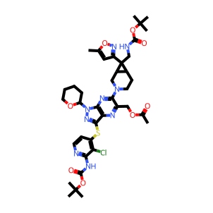 CC(=O)OCc1nc2c(Sc3ccnc(NC(=O)OC(C)(C)C)c3Cl)nn(C3CCCCO3)c2nc1N1CCC2C(C1)C2(CNC(=O)OC(C)(C)C)c1cc(C)on1